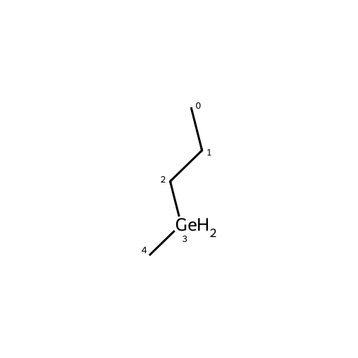 CC[CH2][GeH2][CH3]